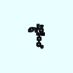 COc1cccc(-c2ccc(C(=O)Nc3ccc(OC)c(NC(=O)CN4CCOCC4)c3)cc2)c1